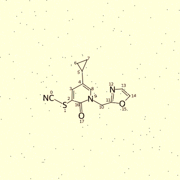 N#CSc1cc(C2CC2)cn(Cc2ncco2)c1=O